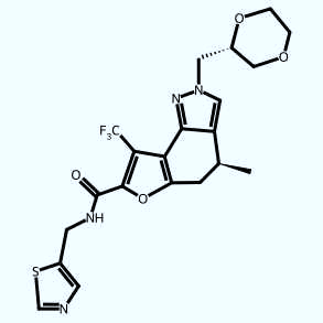 C[C@H]1Cc2oc(C(=O)NCc3cncs3)c(C(F)(F)F)c2-c2nn(C[C@H]3COCCO3)cc21